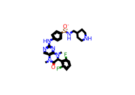 CN1C(=O)C(c2c(F)cccc2F)N(C)c2nc(Nc3ccc([S+]([O-])NCC4CCNCC4)cc3)ncc21